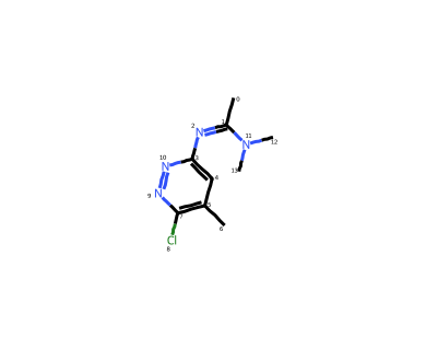 CC(=Nc1cc(C)c(Cl)nn1)N(C)C